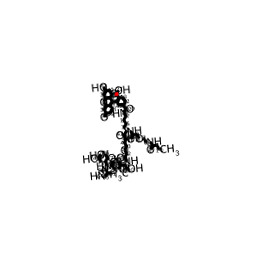 CCCC(=O)NCCOCC(=O)N[C@H](CCCCNC(=O)c1ccc(C(=O)O)c(-c2c3ccc(=O)cc-3oc3cc(O)ccc23)c1)C(=O)NCCOCC(=O)N[C@@H](C(=O)N[C@H](Cc1c[nH]cn1)C(=O)N[C@H](CC(=O)O)C(N)=O)[C@H](C)O